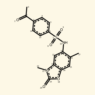 CC(=O)c1ccc(S(=O)(=O)Nc2cc3c(cc2C)oc(=O)n3C)cc1